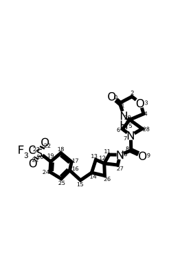 O=C1COCC2(CN(C(=O)N3CC4(CC(Cc5ccc(S(=O)(=O)C(F)(F)F)cc5)C4)C3)C2)N1